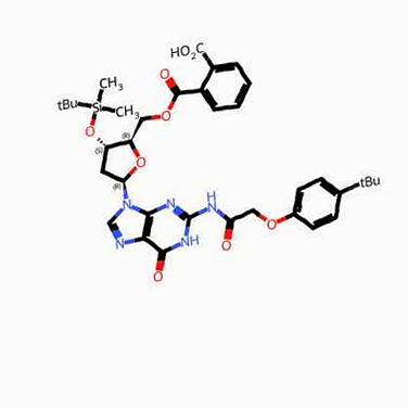 CC(C)(C)c1ccc(OCC(=O)Nc2nc3c(ncn3[C@H]3C[C@H](O[Si](C)(C)C(C)(C)C)[C@@H](COC(=O)c4ccccc4C(=O)O)O3)c(=O)[nH]2)cc1